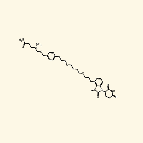 Cn1c(=O)n(C2CCC(=O)NC2=O)c2cccc(CCCOCCCCOCCCc3ccc(COC[C@@H](N)CCC(N)=O)cc3)c21